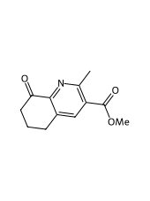 COC(=O)c1cc2c(nc1C)C(=O)CCC2